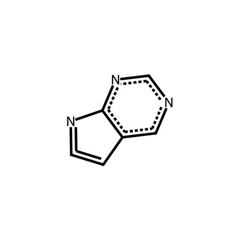 C1=Cc2cncnc2N=1